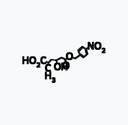 CC(CC(O)CC(=O)OCc1ccc([N+](=O)[O-])cc1)C(=O)O